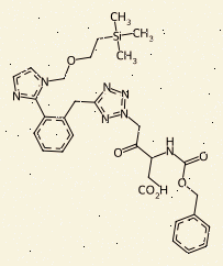 C[Si](C)(C)CCOCn1ccnc1-c1ccccc1Cc1nnn(CC(=O)C(CC(=O)O)NC(=O)OCc2ccccc2)n1